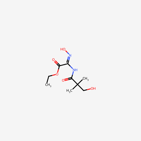 CCOC(=O)/C(=N\O)NC(=O)C(C)(C)CO